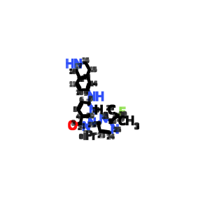 CC(C)n1c(=O)c2ccc(Nc3ccc4c(c3)CCNC4)nc2n1-c1ccnc(C(C)(C)F)n1